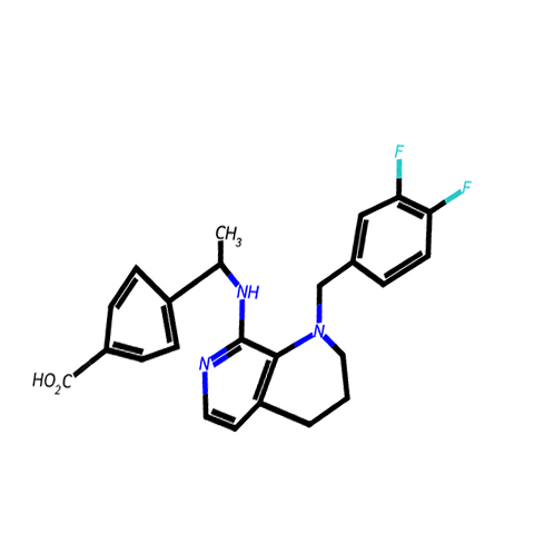 CC(Nc1nccc2c1N(Cc1ccc(F)c(F)c1)CCC2)c1ccc(C(=O)O)cc1